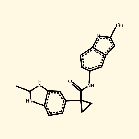 CC1Nc2ccc(C3(C(=O)Nc4ccc5[nH]c(C(C)(C)C)cc5c4)CC3)cc2N1